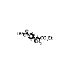 CCOC(=O)CCN(C)C1CCN(C(=O)OC(C)(C)C)CC1